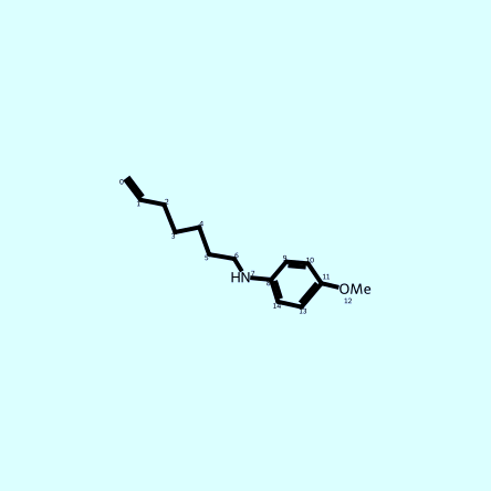 C=CCCCCCNc1ccc(OC)cc1